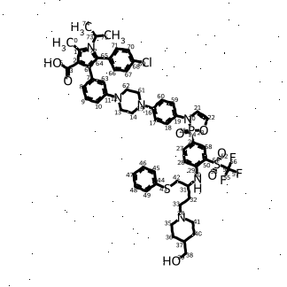 Cc1c(C(=O)O)c(-c2cccc(N3CCN(c4ccc(N5C=CO[P@@]5(=O)c5ccc(NC(CCN6CCC(CO)CC6)CSc6ccccc6)c(S(=O)(=O)C(F)(F)F)c5)cc4)CC3)c2)c(-c2ccc(Cl)cc2)n1C(C)C